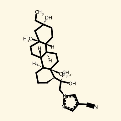 CC[C@@]1(O)CC[C@@H]2[C@H]3CC[C@@]4(C)[C@@H](CCC[C@@H]4[C@@](C)(O)Cn4cc(C#N)cn4)[C@@H]3CC[C@]2(C)C1